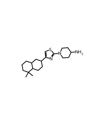 CC1(C)CCCC2CC(c3csc(N4CCC(N)CC4)n3)CCC21